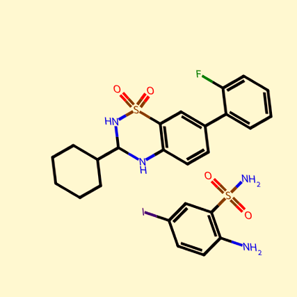 Nc1ccc(I)cc1S(N)(=O)=O.O=S1(=O)NC(C2CCCCC2)Nc2ccc(-c3ccccc3F)cc21